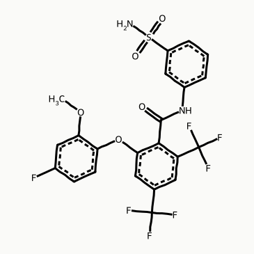 COc1cc(F)ccc1Oc1cc(C(F)(F)F)cc(C(F)(F)F)c1C(=O)Nc1cccc(S(N)(=O)=O)c1